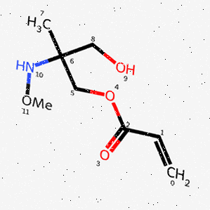 C=CC(=O)OCC(C)(CO)NOC